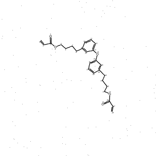 C=CC(=O)OCCCCc1cccc(Oc2cccc(CCCCOC(=O)C=C)c2)c1